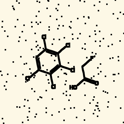 Clc1cc(Cl)c(Cl)c(Cl)c1Cl.O=C(O)CF